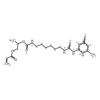 C=CC(=O)OCC(C)OC(=O)NCCCCCCNC(=O)Nc1nc(=O)cc(C)[nH]1